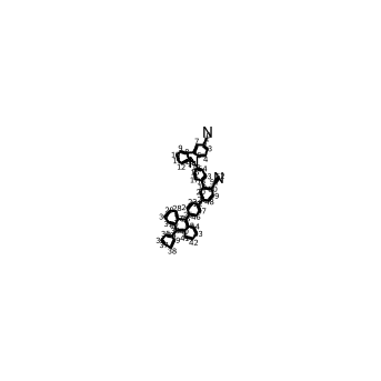 N#Cc1ccc2c(c1)c1ccccc1n2-c1ccc(-c2cc(-c3ccc(-c4c5ccccc5c(-c5ccccc5)c5ccccc45)cc3)ccc2C#N)cc1